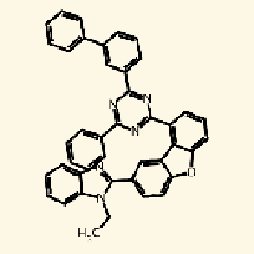 CCn1c(-c2ccc3oc4cccc(-c5nc(-c6ccccc6)nc(-c6cccc(-c7ccccc7)c6)n5)c4c3c2)nc2ccccc21